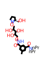 CCCN(CCC)C(=O)c1cc(C)cc(C(=O)NOC[C@H](O)[C@@H](O)[C@H](O)CON2CCC[C@@H]2CO)c1